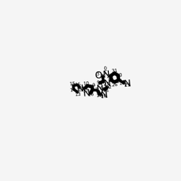 CN(C(=O)c1cn2c(-c3ccc(N4CCCC4)nc3)cnc2cn1)c1ccc(C#N)cc1